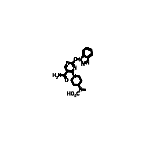 CN(C(=O)O)C1CCN(c2nc(On3nnc4ccccc43)ncc2C(N)=O)CC1